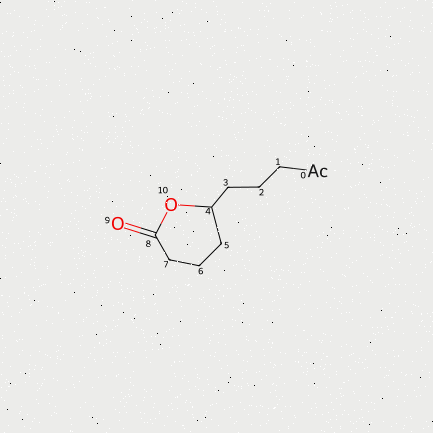 CC(=O)CCCC1CCCC(=O)O1